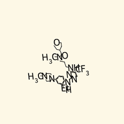 CCc1cc(N2CCN(C)CC2)ccc1Nc1ncc(C(F)(F)F)c(NCCCN(C)C(=O)C2CCOCC2)n1